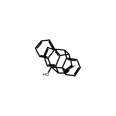 OC12c3ccccc3C(c3ccccc31)C1c3ccccc3C2c2ccccc21